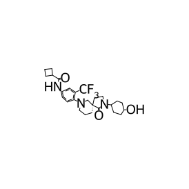 O=C(Nc1ccc(N2CCC[C@@]3(CCN(C4CCC(O)CC4)C3=O)C2)c(C(F)(F)F)c1)C1CCC1